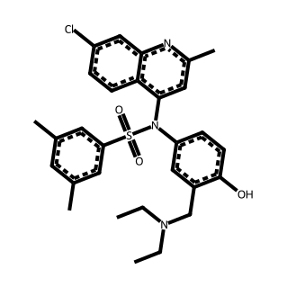 CCN(CC)Cc1cc(N(c2cc(C)nc3cc(Cl)ccc23)S(=O)(=O)c2cc(C)cc(C)c2)ccc1O